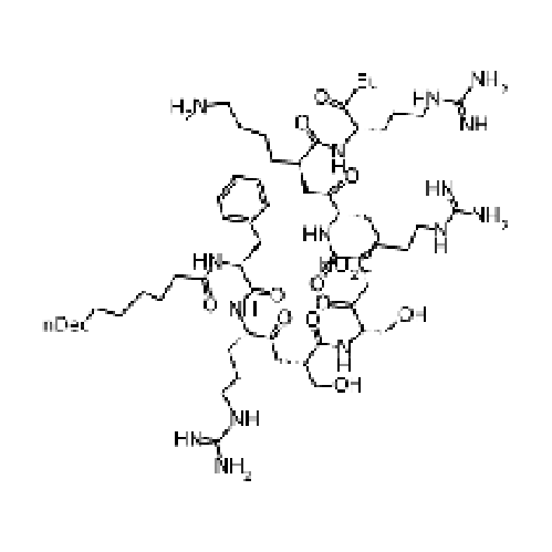 CCCCCCCCCCCCCCCC(=O)N[C@@H](Cc1ccccc1)C(=O)N[C@@H](CCCNC(=N)N)C(=O)C[C@@H](CO)C(=O)N[C@@H](CO)C(=O)C[C@@H](CCCNC(=N)N)C(=O)N[C@@H](CCC(=O)O)C(=O)C[C@@H](CCCCN)C(=O)N[C@@H](CCCNC(=N)N)C(=O)CC